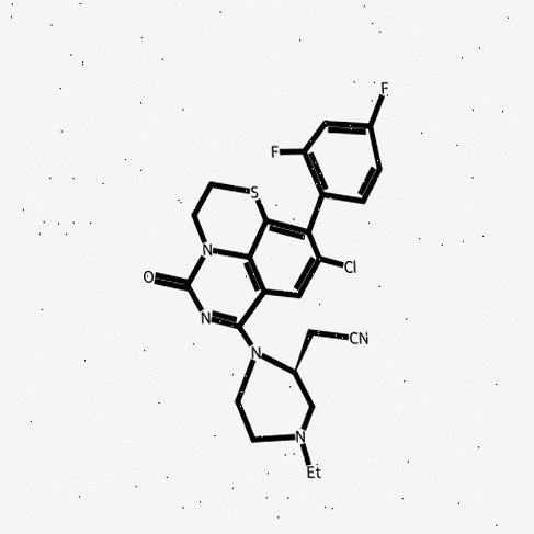 CCN1CCN(c2nc(=O)n3c4c(c(-c5ccc(F)cc5F)c(Cl)cc24)SCC3)[C@@H](CC#N)C1